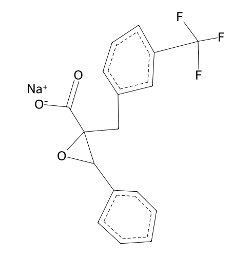 O=C([O-])C1(Cc2cccc(C(F)(F)F)c2)OC1c1ccccc1.[Na+]